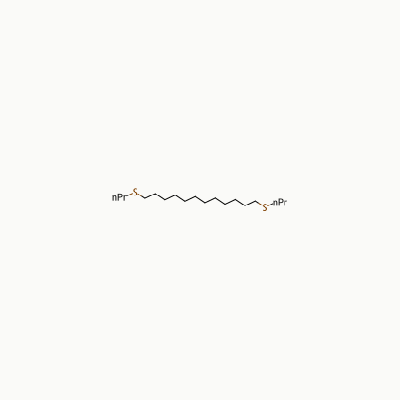 CCCSCCCCCCCCCCCCSCCC